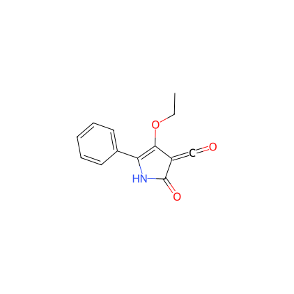 CCOC1=C(c2ccccc2)NC(=O)C1=C=O